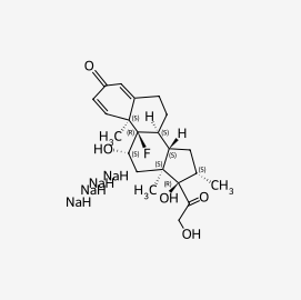 C[C@H]1C[C@H]2[C@@H]3CCC4=CC(=O)C=C[C@]4(C)[C@@]3(F)[C@@H](O)C[C@]2(C)[C@@]1(O)C(=O)CO.[NaH].[NaH].[NaH].[NaH]